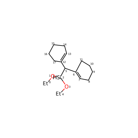 CCO[SiH](OCC)C(C1=CCCCC1)C1=CCCCC1